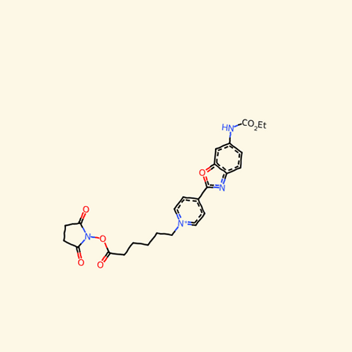 CCOC(=O)Nc1ccc2nc(-c3cc[n+](CCCCCC(=O)ON4C(=O)CCC4=O)cc3)oc2c1